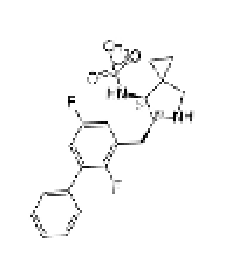 CS(=O)(=O)N[C@@H]1[C@H](Cc2cc(F)cc(-c3ccccc3)c2F)NCC12CC2